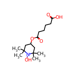 CC1(C)CC(OC(=O)CCCCC(=O)O)CC(C)(C)N1O